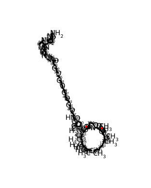 CO[C@H]1C[C@@H]2CC[C@@H](C)[C@@](O)(O2)C(=O)C(=O)N2CCCC[C@H]2C(=O)O[C@H]([C@H](N)C[C@@H]2CC[C@@H](OC(=O)NCCOCCOCCOCCOCCOCCOCCOCCOCCC(=O)N3CCN(c4cc(-n5nc(-c6ccc7oc(N)nc7c6)c6c(N)ccnc65)ncn4)CC3)[C@H](OC)C2)CC(=O)[C@H](C)/C=C(\C)[C@@H](O)[C@@H](O)C(=O)[C@H](C)C[C@H](C)/C=C/C=C/C=C/1C